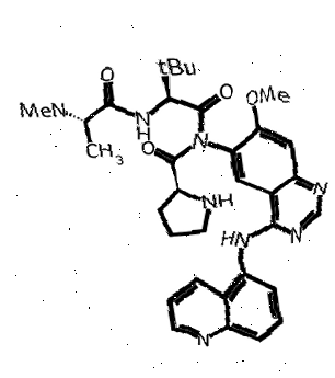 CN[C@@H](C)C(=O)N[C@H](C(=O)N(C(=O)[C@@H]1CCCN1)c1cc2c(Nc3cccc4ncccc34)ncnc2cc1OC)C(C)(C)C